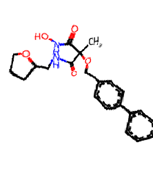 CC(OCc1ccc(-c2ccccc2)cc1)(C(=O)NO)C(=O)NCC1CCCO1